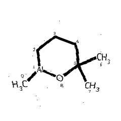 [CH3][Al]1[CH2]CCC(C)(C)[O]1